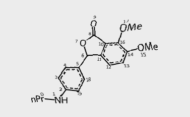 CCCNc1ccc(C2OC(=O)c3c2ccc(OC)c3OC)cc1